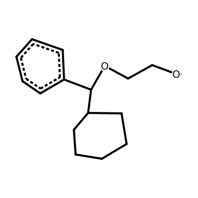 [O]CCOC(c1ccccc1)C1CCCCC1